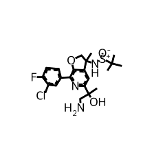 CC(O)(CN)c1cc2c(c(-c3ccc(F)c(Cl)c3)n1)OCC2(C)N[S+]([O-])C(C)(C)C